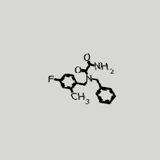 Cc1cc(F)ccc1CN(Cc1ccccc1)C(=O)C(N)=O